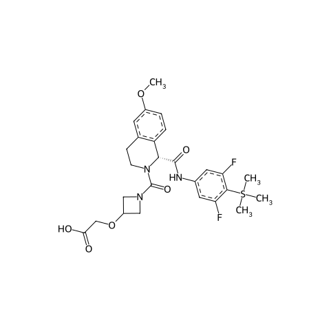 COc1ccc2c(c1)CCN(C(=O)N1CC(OCC(=O)O)C1)[C@H]2C(=O)Nc1cc(F)c(S(C)(C)C)c(F)c1